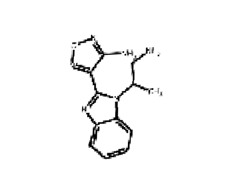 CC(CN)n1c(-c2nonc2N)nc2ccccc21